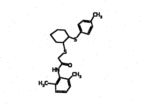 Cc1ccc(SC2CCCCC2SCC(=O)Nc2c(C)cccc2C)cc1